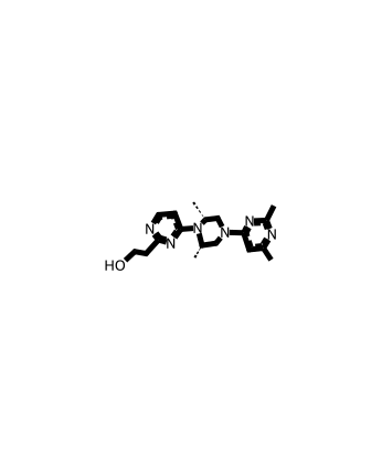 Cc1cc(N2C[C@@H](C)N(c3ccnc(CCO)n3)[C@@H](C)C2)nc(C)n1